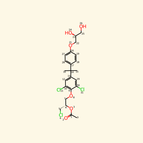 CC(=O)O[C@H](CCl)COc1c(Cl)cc(C(C)(C)c2ccc(OC[C@@H](O)CO)cc2)cc1Cl